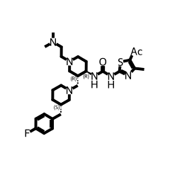 CC(=O)c1sc(NC(=O)N[C@@H]2CCN(CCN(C)C)C[C@H]2CN2CCC[C@@H](Cc3ccc(F)cc3)C2)nc1C